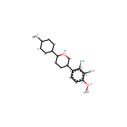 CCCC1CCC(C2CCC(c3ccc(OCC)c(F)c3F)CO2)CC1